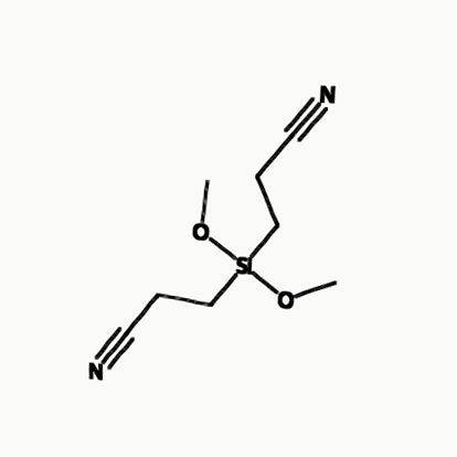 CO[Si](CCC#N)(CCC#N)OC